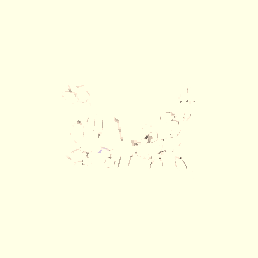 C=C(/C(O)=C(\OC(=O)c1ccco1)c1ccco1)[C@@H](C)C[C@@H]1O[C@@]1(COC)C(OC)OC(=O)OC(C)(C)C